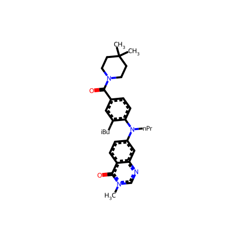 CCCN(c1ccc2c(=O)n(C)cnc2c1)c1ccc(C(=O)N2CCC(C)(C)CC2)cc1C(C)CC